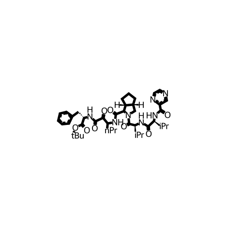 CCCC(NC(=O)C1[C@@H]2CCC[C@@H]2CN1C(=O)[C@@H](NC(=O)[C@@H](NC(=O)c1cnccn1)C(C)C)C(C)C)C(=O)C(=O)N[C@@H](Cc1ccccc1)C(=O)OC(C)(C)C